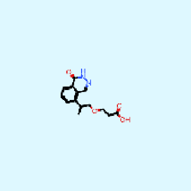 CC(COCCC(=O)O)c1cccc2c(=O)[nH]ncc12